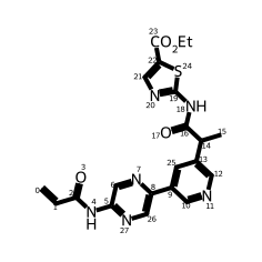 C=CC(=O)Nc1cnc(-c2cncc(C(C)C(=O)Nc3ncc(C(=O)OCC)s3)c2)cn1